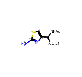 CCOC(=O)C(NC(C)=O)c1csc(N)n1